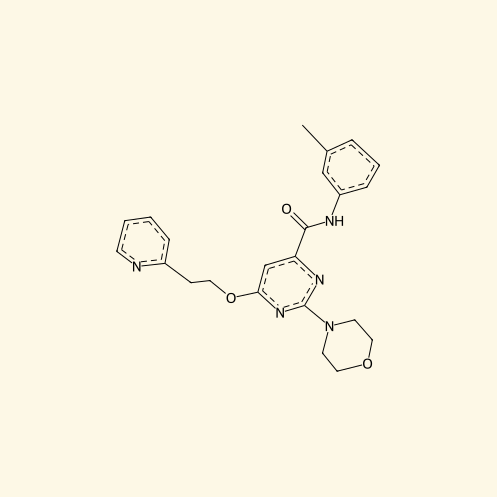 Cc1cccc(NC(=O)c2cc(OCCc3ccccn3)nc(N3CCOCC3)n2)c1